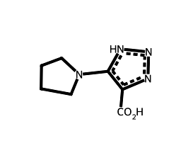 O=C(O)c1nn[nH]c1N1CCCC1